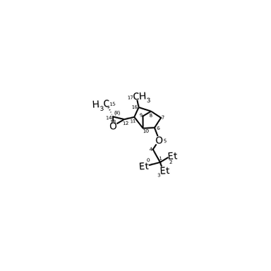 CCC(CC)(CC)COC1CC2CC1C(C1O[C@@H]1C)C2C